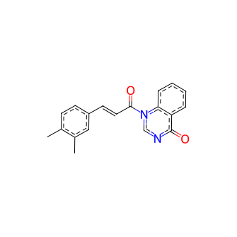 Cc1ccc(/C=C/C(=O)n2cnc(=O)c3ccccc32)cc1C